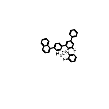 CN(c1ccccc1F)c1c(F)cc(-c2ccccc2)cc1-c1ccc(-c2cccc3ccccc23)cc1